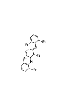 CCC1C(=Nc2c(C(C)C)cccc2C(C)C)C=CCC1=Nc1c(C(C)C)cccc1C(C)C